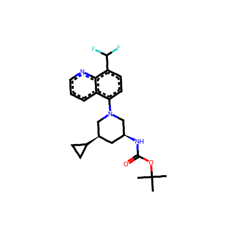 CC(C)(C)OC(=O)N[C@H]1C[C@@H](C2CC2)CN(c2ccc(C(F)F)c3ncccc23)C1